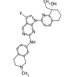 CC[C@@]1(O)CCCc2ccc(-n3cc(F)c4cnc(Nc5ccc6c(c5)CN(C)CC6)nc43)nc21